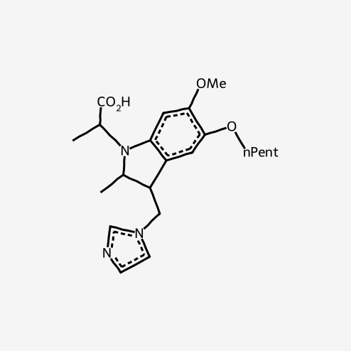 CCCCCOc1cc2c(cc1OC)N(C(C)C(=O)O)C(C)C2Cn1ccnc1